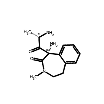 C[C@H](N)C(=O)[C@]1(N)C(=O)N(C)CCc2ccccc21